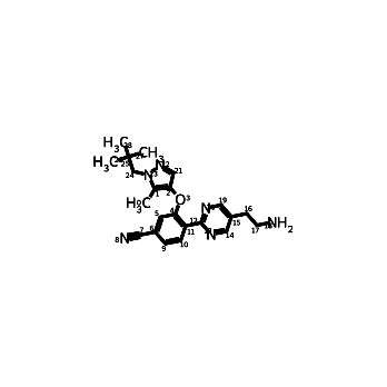 Cc1c(Oc2cc(C#N)ccc2-c2ncc(CCN)cn2)cnn1CC(C)(C)C